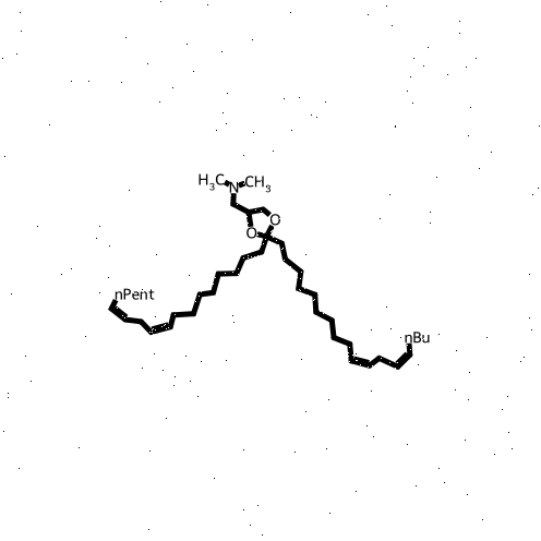 CCCC/C=C\C/C=C\CCCCCCCCCC1(CCCCCCCC/C=C\C/C=C\CCCCC)OCC(CN(C)C)O1